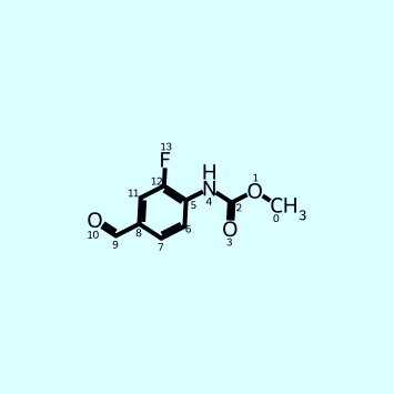 COC(=O)Nc1ccc(C=O)cc1F